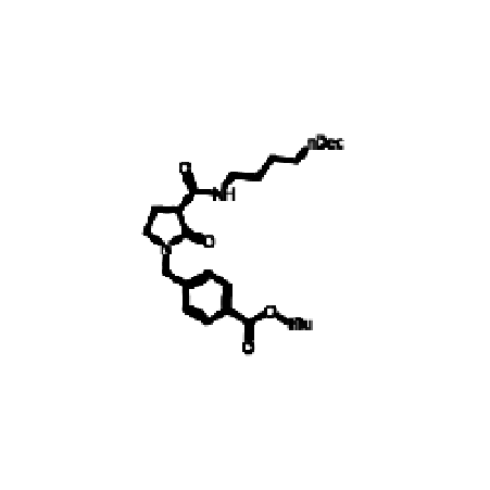 CCCCCCCCCCCCCCNC(=O)C1CCN(Cc2ccc(C(=O)OC(C)(C)C)cc2)C1=O